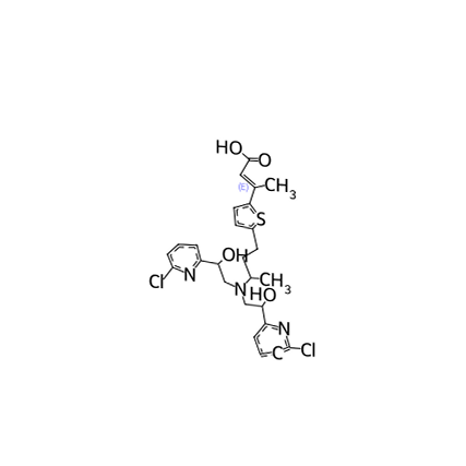 C/C(=C\C(=O)O)c1ccc(CCC(C)N(CC(O)c2cccc(Cl)n2)CC(O)c2cccc(Cl)n2)s1